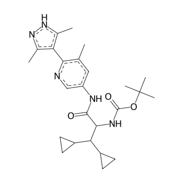 Cc1cc(NC(=O)C(NC(=O)OC(C)(C)C)C(C2CC2)C2CC2)cnc1-c1c(C)n[nH]c1C